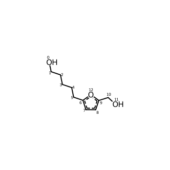 OCCCCCc1ccc(CO)o1